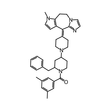 Cc1cc(C)cc(C(=O)N2CCC(N3CCC(=C4c5ccn(C)c5CCn5ccnc54)CC3)CC2Cc2ccccc2)c1